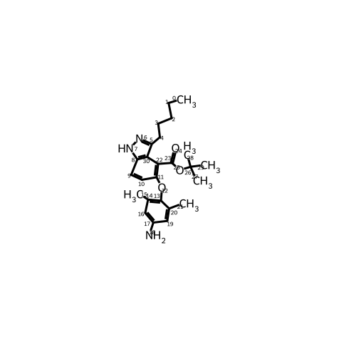 CCCCCc1n[nH]c2ccc(Oc3c(C)cc(N)cc3C)c(C(=O)OC(C)(C)C)c12